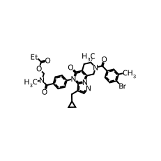 CCC(=O)OCN(C)C(=O)c1ccc(-n2c(=O)c3c(n4ncc(CC5CC5)c24)CN(C(=O)c2ccc(Br)c(C)c2)[C@@H](C)C3)cc1